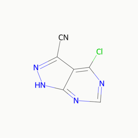 N#Cc1n[nH]c2ncnc(Cl)c12